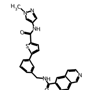 Cn1cc(NC(=O)c2ccc(-c3cccc(CNC(=O)c4ccc5cnccc5c4)c3)s2)cn1